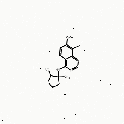 COc1ccc2c(NC3(C)CCOC3C)ncnc2c1F